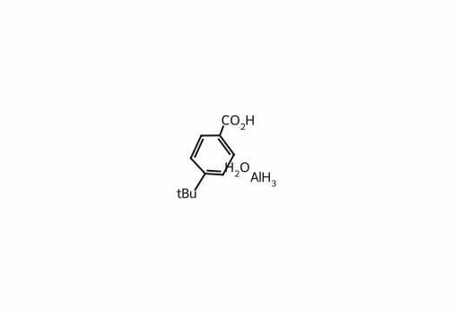 CC(C)(C)c1ccc(C(=O)O)cc1.O.[AlH3]